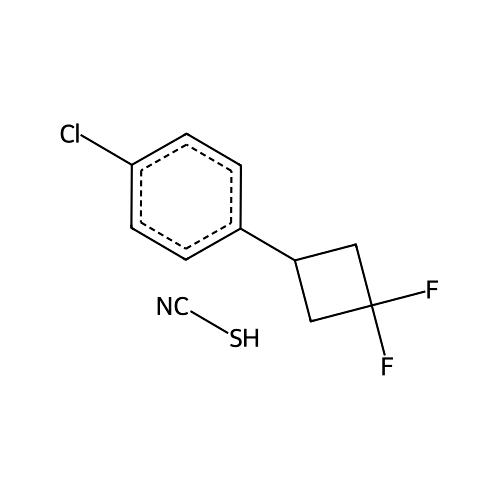 FC1(F)CC(c2ccc(Cl)cc2)C1.N#CS